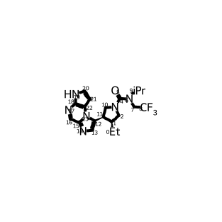 CC[C@@H]1CN(C(=O)N(CC(F)(F)F)C(C)C)C[C@@H]1c1cnc2cnc3[nH]ccc3n12